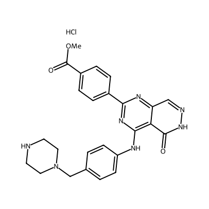 COC(=O)c1ccc(-c2nc(Nc3ccc(CN4CCNCC4)cc3)c3c(=O)[nH]ncc3n2)cc1.Cl